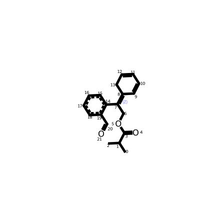 CC(C)C(=O)OC/C(=C1\C=CC=CC1)c1ccccc1C=O